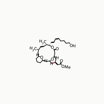 COC(=O)/C=C1\C[C@H]2CC(=O)O[C@@H](/C=C/C=C\CCCCO)[C@@H](C)/C=C/[C@H](C)C[C@H]3CCC[C@@H](C[C@@H](C1)O2)O3